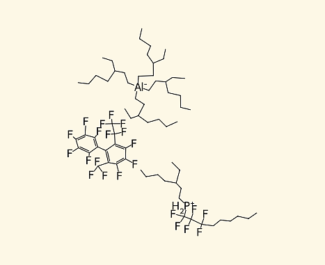 CCCCC(CC)C[CH2][Al-]([CH2]CC(CC)CCCC)([CH2]CC(CC)CCCC)[CH2]CC(CC)CCCC.CCCCCCC(F)(F)C(F)(F)C(F)(F)[PH2+]CCC(CC)CCCC.Fc1c(F)c(F)c(-c2c(C(F)(F)F)c(F)c(F)c(F)c2C(F)(F)C(F)(F)F)c(F)c1F